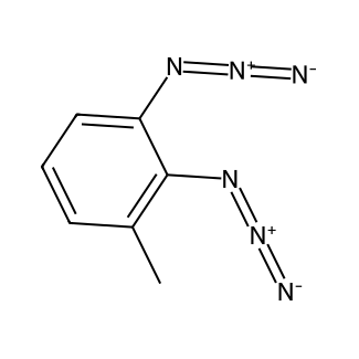 Cc1cccc(N=[N+]=[N-])c1N=[N+]=[N-]